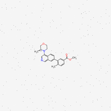 COC(=O)c1ccc(C)c(-c2ccc3c(N4CCOC[C@@H]4C)cncc3c2)c1